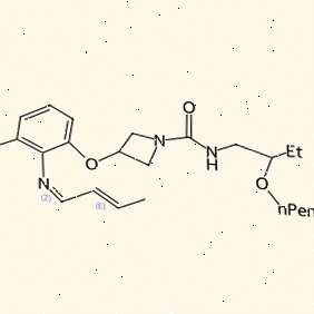 C/C=C/C=N\c1c(C)cccc1OC1CN(C(=O)NCC(CC)OCCCCC)C1